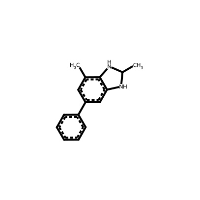 Cc1cc(-c2ccccc2)cc2c1NC(C)N2